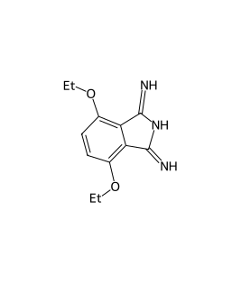 CCOc1ccc(OCC)c2c1C(=N)NC2=N